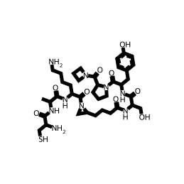 CC(NC(=O)C(N)CS)C(=O)NC(CCCCN)C(=O)N1CC1CCCC(=O)NC(CO)C(=O)NC(Cc1ccc(O)cc1)C(=O)N1CCCC1C(=O)N1CCC1